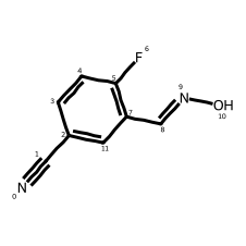 N#Cc1ccc(F)c(/C=N/O)c1